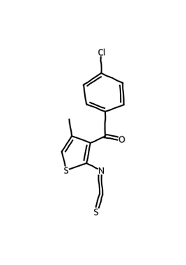 Cc1csc(N=C=S)c1C(=O)c1ccc(Cl)cc1